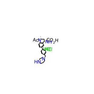 CC(=O)N1c2ccc(-c3ccc(CN4CCCNCC4)cc3)cc2[C@@H](NC(=O)O)C[C@H]1C.Cl.Cl